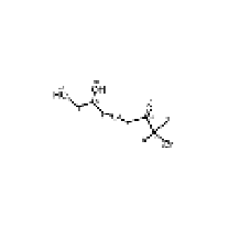 CC(C)(Br)C(=O)CCCC(O)CO